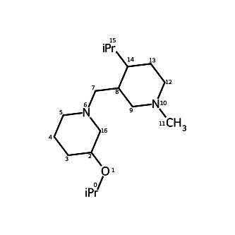 CC(C)OC1CCCN(CC2CN(C)CCC2C(C)C)C1